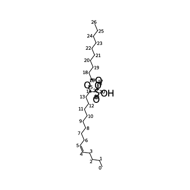 CCCC/C=C\CCCCCCCCC(OC(=O)CCCCCCCCC)S(=O)(=O)O